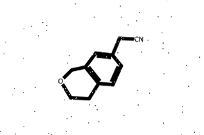 N#CCc1ccc2c(c1)COCC2